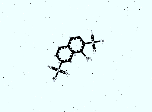 Nc1c(S(=O)(=O)O)ccc2ccc(S(=O)(=O)O)cc12